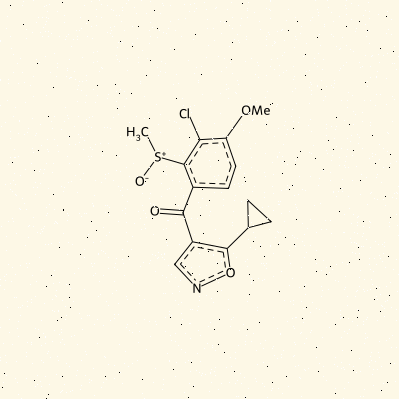 COc1ccc(C(=O)c2cnoc2C2CC2)c([S+](C)[O-])c1Cl